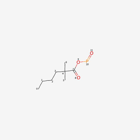 CCCCC(C)(C)C(=O)OP=O